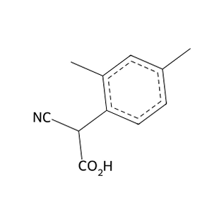 Cc1ccc(C(C#N)C(=O)O)c(C)c1